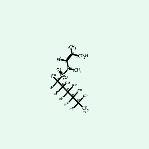 CCC(=C(C)C(=O)O)N(C)S(=O)(=O)C(F)(F)C(F)(F)C(F)(F)C(F)(F)C(F)(F)C(F)(F)F